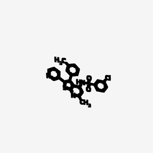 Cc1cccc(-c2c(-c3cccnc3)sc3nc(C)cc(NS(=O)(=O)c4cccc(Cl)c4)c23)c1